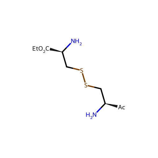 CCOC(=O)[C@@H](N)CSSC[C@H](N)C(C)=O